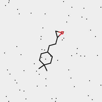 CC1(C)CCC(CCC2CO2)CC1